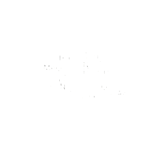 COC(=O)C1=C(C)NC(C)=C(C(=O)OCC(C)=O)C1c1ccccc1[N+](=O)[O-].[CaH2]